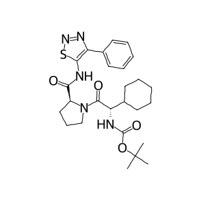 CC(C)(C)OC(=O)N[C@H](C(=O)N1CCC[C@H]1C(=O)Nc1snnc1-c1ccccc1)C1CCCCC1